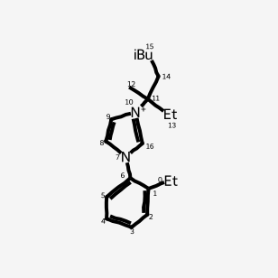 CCc1ccccc1-n1cc[n+](C(C)(CC)CC(C)CC)c1